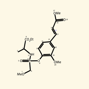 CCOC(=O)C(C)NP(=O)(COC)Oc1ccc(/C=C/C(=O)OC)cc1OC